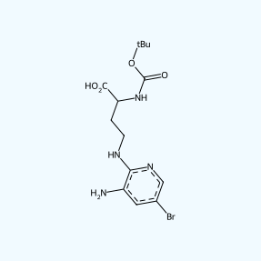 CC(C)(C)OC(=O)NC(CCNc1ncc(Br)cc1N)C(=O)O